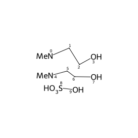 CNCCO.CNCCO.O=S(=O)(O)O